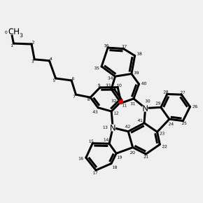 CCCCCCCCc1cccc(-n2c3ccccc3c3ccc4c5ccccc5n(-c5ccc6ccccc6c5)c4c32)c1